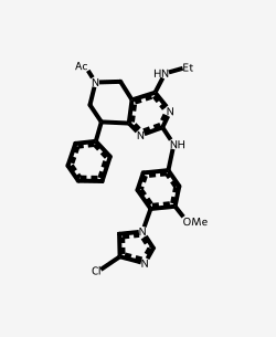 CCNc1nc(Nc2ccc(-n3cnc(Cl)c3)c(OC)c2)nc2c1CN(C(C)=O)CC2c1ccccc1